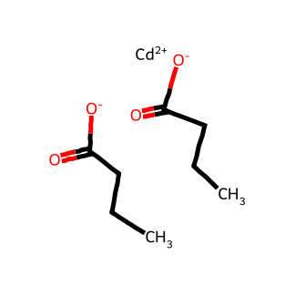 CCCC(=O)[O-].CCCC(=O)[O-].[Cd+2]